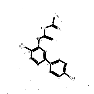 CC(=O)NC(=S)Nc1cc(-c2ccc(O)cc2)ccc1C